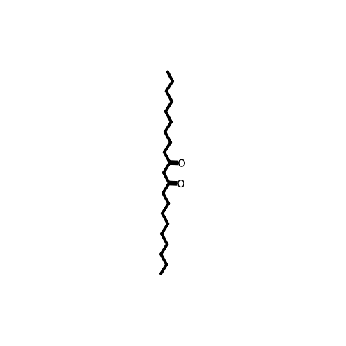 CCCCCCCCCC(=O)CC(=O)CCCCCCCCC